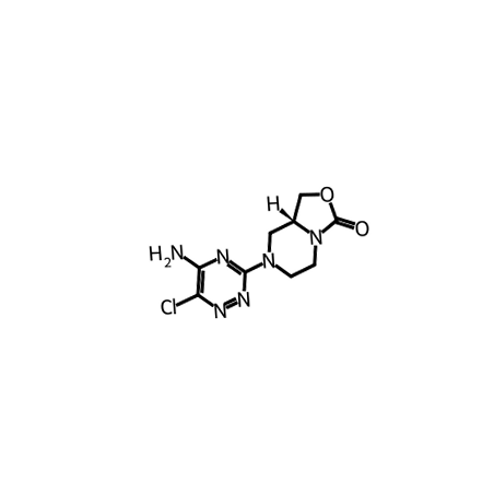 Nc1nc(N2CCN3C(=O)OC[C@H]3C2)nnc1Cl